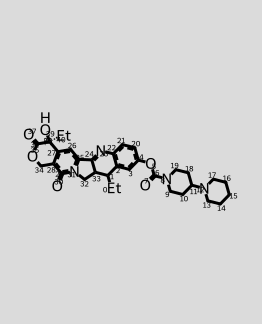 CCC1c2cc(OC(=O)N3CCC(N4CCCCC4)CC3)ccc2N=C2c3cc4c(c(=O)n3CC21)COC(=O)[C@]4(O)CC